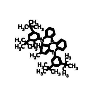 Cc1cc2c3c(c1)N(c1cc(C(C)(C)C)cc(C(C)(C)C)c1)c1ccccc1B3c1ccccc1N2C1=CC(C(C)(C)C)=CC(C(C)(C)C)C1C